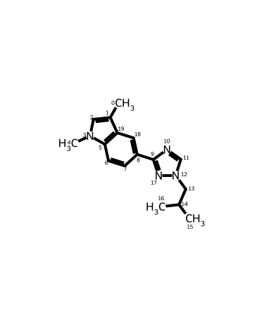 Cc1cn(C)c2ccc(-c3ncn(CC(C)C)n3)cc12